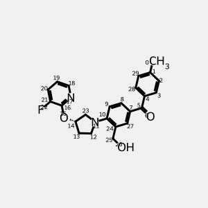 Cc1ccc(C(=O)c2ccc(N3CC[C@H](Oc4ncccc4F)C3)c(CO)c2)cc1